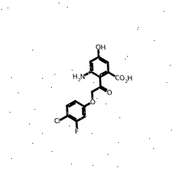 Nc1cc(O)cc(C(=O)O)c1C(=O)COc1ccc(Cl)c(F)c1